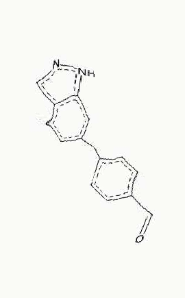 O=Cc1ccc(-c2ccc3cn[nH]c3c2)cc1